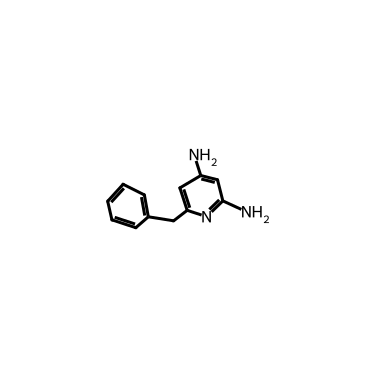 Nc1cc(N)nc(Cc2ccccc2)c1